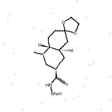 CCCCCNC(=O)[C@@H]1C[C@@H]2CC3(CC[C@H]2N(C)C1)OCCO3